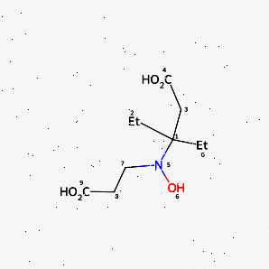 CCC(CC)(CC(=O)O)N(O)CCC(=O)O